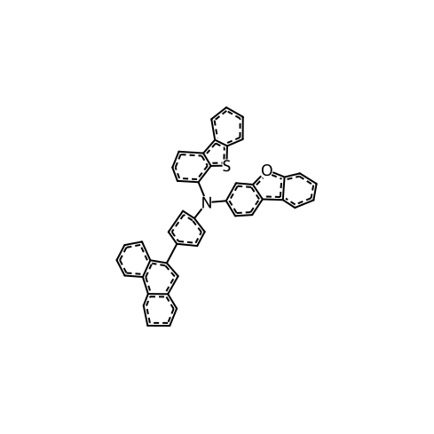 c1ccc2c(c1)cc(-c1ccc(N(c3ccc4c(c3)oc3ccccc34)c3cccc4c3sc3ccccc34)cc1)c1ccccc12